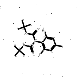 Cc1cc(F)c(N(C(=O)OC(C)(C)C)C(=O)OC(C)(C)C)c(Br)c1